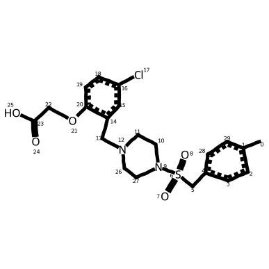 Cc1ccc(CS(=O)(=O)N2CCN(Cc3cc(Cl)ccc3OCC(=O)O)CC2)cc1